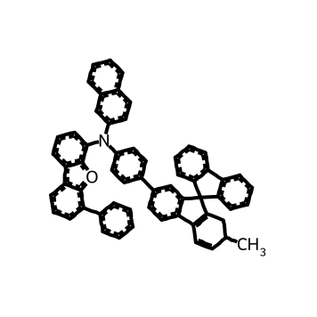 CC1C=CC2=C(C1)C1(c3cc(-c4ccc(N(c5ccc6ccccc6c5)c5cccc6c5oc5c(-c7ccccc7)cccc56)cc4)ccc32)c2ccccc2-c2ccccc21